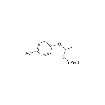 CCCCCSC(C)Oc1ccc(C(C)=O)cc1